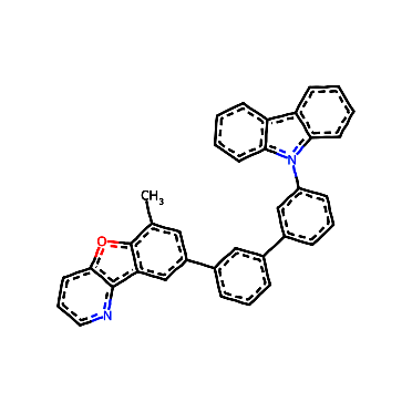 Cc1cc(-c2cccc(-c3cccc(-n4c5ccccc5c5ccccc54)c3)c2)cc2c1oc1cccnc12